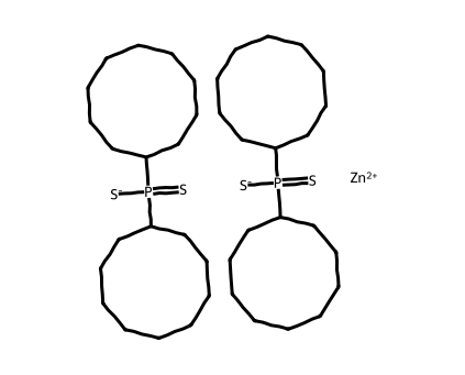 S=P([S-])(C1CCCCCCCCC1)C1CCCCCCCCC1.S=P([S-])(C1CCCCCCCCC1)C1CCCCCCCCC1.[Zn+2]